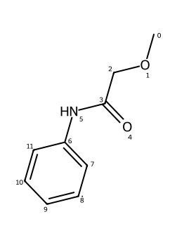 COCC(=O)Nc1c[c]ccc1